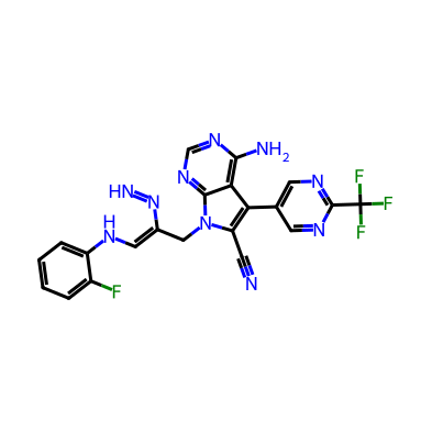 N#Cc1c(-c2cnc(C(F)(F)F)nc2)c2c(N)ncnc2n1C/C(=C/Nc1ccccc1F)N=N